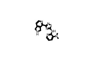 CN(C)c1cccnc1Nc1nc(-c2nccc3c2CNC3)ns1